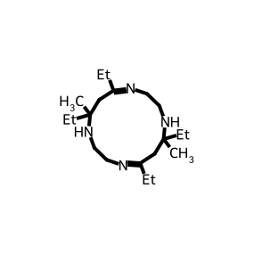 CCC1=NCCNC(C)(CC)CC(CC)=NCCNC(C)(CC)C1